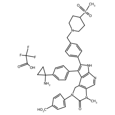 CN1C(=O)N(c2ccc(C(=O)O)cc2)Cc2c1cnc1[nH]c(-c3ccc(CN4CCC(S(C)(=O)=O)CC4)cc3)c(-c3ccc(C4(N)CC4)cc3)c21.O=C(O)C(F)(F)F